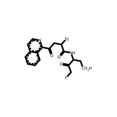 CCC(CC(=O)c1nccc2ccccc12)C(=O)NC(CC(=O)O)C(=O)CF